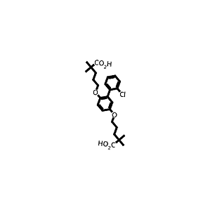 CC(C)(CCCOc1ccc(OCCCC(C)(C)C(=O)O)c(-c2ccccc2Cl)c1)C(=O)O